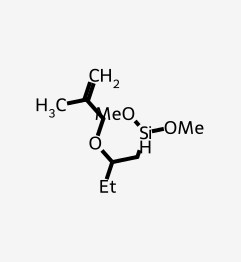 C=C(C)COC(CC)C[SiH](OC)OC